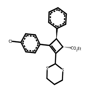 CCOC(=O)[C@@H]1C(C2SCCCS2)=C(c2ccc(Cl)cc2)[C@H]1c1ccccc1